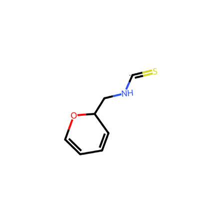 S=[C]NCC1C=CC=CO1